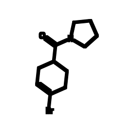 O=C(C1CC=C(Br)CC1)N1CCCC1